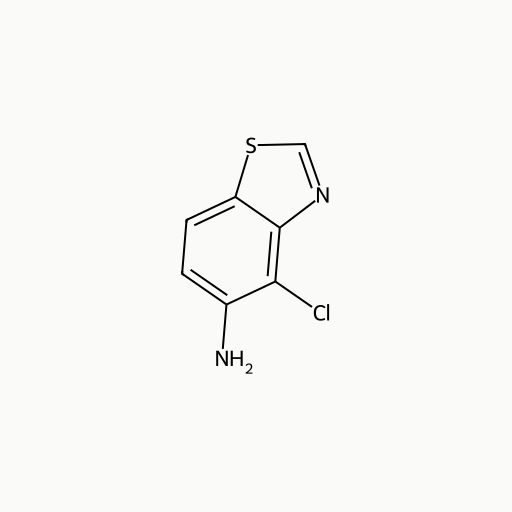 Nc1ccc2scnc2c1Cl